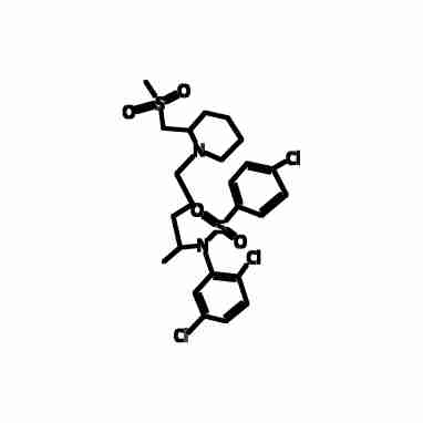 CC(CCCN1CCCCC1CS(C)(=O)=O)N(c1cc(Cl)ccc1Cl)S(=O)(=O)c1ccc(Cl)cc1